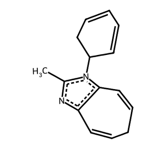 Cc1nc2c(n1C1C=CC=CC1)C=CCC=C2